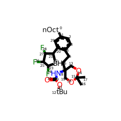 CCCCCCCCc1ccc(CCC2(NC(=O)OC(C)(C)C)COC(C)(C)OC2)c(C2BC(F)C(F)C2F)c1